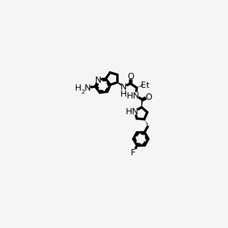 CC[C@H](NC(=O)[C@H]1C[C@H](Cc2ccc(F)cc2)CN1)C(=O)N[C@@H]1CCc2nc(N)ccc21